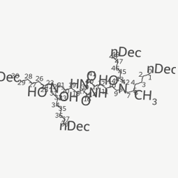 CCCCCCCCCCCCCCC(C)CN(CCCCC1NC(=O)C(CCCCN(CC(O)CCCCCCCCCCCCCC)CC(O)CCCCCCCCCCCCCC)NC1=O)CC(O)CCCCCCCCCCCCCC